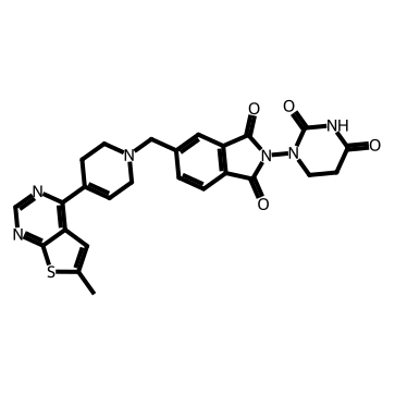 Cc1cc2c(C3=CCN(Cc4ccc5c(c4)C(=O)N(N4CCC(=O)NC4=O)C5=O)CC3)ncnc2s1